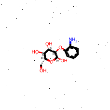 Nc1ccccc1O[C@@H]1[C@@H](O)[C@H](O)[C@@H](CO)O[C@@H]1O